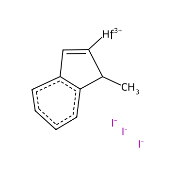 CC1[C]([Hf+3])=Cc2ccccc21.[I-].[I-].[I-]